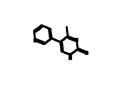 Cc1nc(=O)[nH]cc1-c1cccnc1